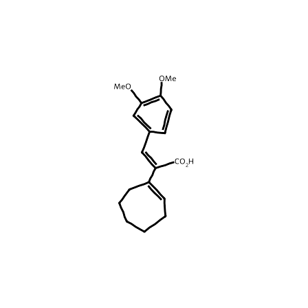 COc1ccc(C=C(C(=O)O)C2=CCCCCC2)cc1OC